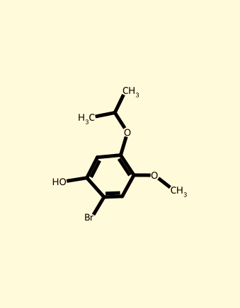 COc1cc(Br)c(O)cc1OC(C)C